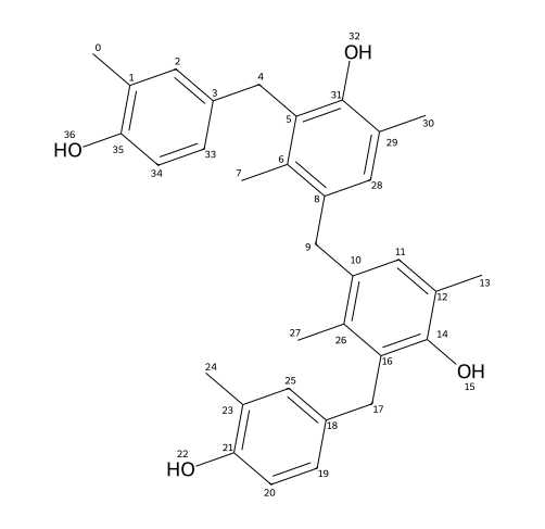 Cc1cc(Cc2c(C)c(Cc3cc(C)c(O)c(Cc4ccc(O)c(C)c4)c3C)cc(C)c2O)ccc1O